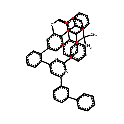 CC1(C)c2ccccc2C2(c3ccccc3Oc3cc(-c4ccccc4-c4cc(-c5cccc(-c6ccccc6)c5)nc(-c5cccc(-c6ccccc6)c5)n4)ccc32)c2ccccc21